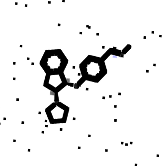 C/N=C/c1ccc(O[C@H]2c3ccccc3C[C@@H]2N2CCCC2)cc1